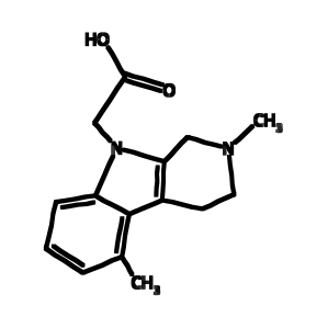 Cc1cccc2c1c1c(n2CC(=O)O)CN(C)CC1